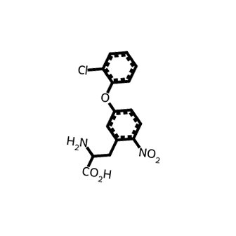 NC(Cc1cc(Oc2ccccc2Cl)ccc1[N+](=O)[O-])C(=O)O